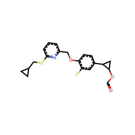 O=COC1CC1c1ccc(OCc2cccc(SCC3CC3)n2)c(F)c1